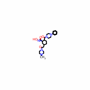 CN1CCN(C(=O)CC2CCC(C(=O)N3CCN(c4ccccc4)CC3)C(C(=O)NO)C2)CC1